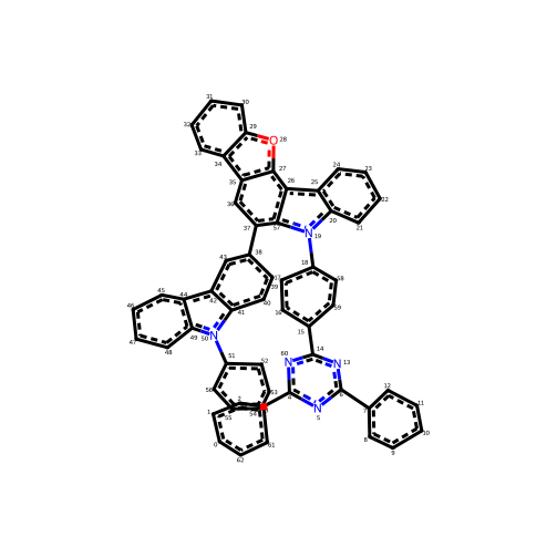 c1ccc(-c2nc(-c3ccccc3)nc(-c3ccc(-n4c5ccccc5c5c6oc7ccccc7c6cc(-c6ccc7c(c6)c6ccccc6n7-c6ccccc6)c54)cc3)n2)cc1